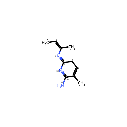 C/C=C(C)\N=C1/CC=C(C)C(N)=N1